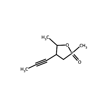 CC#CC1CP(C)(=O)OC1C